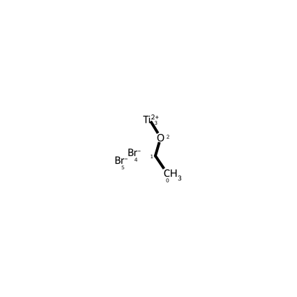 CC[O][Ti+2].[Br-].[Br-]